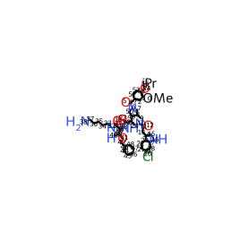 COc1cc(C(=O)N2CC3CN(C(=O)Cc4c[nH]c5cc(Cl)ccc45)CC(C(=O)N[C@H](C(=O)NCCCCCN)[C@H](C)OCc4ccccc4)C3C2)ccc1OC(C)C